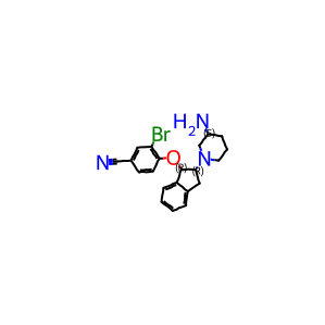 N#Cc1ccc(O[C@@H]2c3ccccc3C[C@H]2N2CCC[C@H](N)C2)c(Br)c1